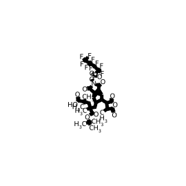 CC1C(=O)OC(=O)C1C1C(CC(C)(CC(C)(C)C(=O)O)C(=O)OC(C)(C)C)C2CC1C1C(=O)N(OS(=O)(=O)C(F)(F)C(F)(F)C(F)(F)C(F)(F)F)C(=O)C21